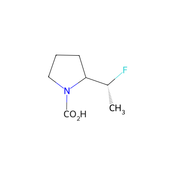 C[C@@H](F)C1CCCN1C(=O)O